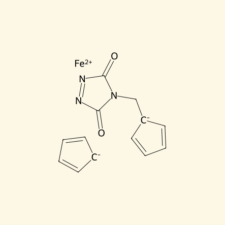 O=C1N=NC(=O)N1C[c-]1cccc1.[Fe+2].c1cc[cH-]c1